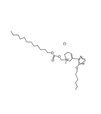 CCCCCCCCCCCCOC(=O)OC[N+]1(C)CCC=C(c2nsnc2OCCCCCC)C1.[Cl-]